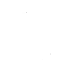 CN(C(=O)c1ccc(-c2ccc3[nH]ncc3c2)cc1)C1CCCC1